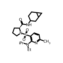 CCN(c1nc(C)ccc1S(=O)(=O)N1CCC[C@H]1C(=O)NC1CCC2CC2C1)C(C)C